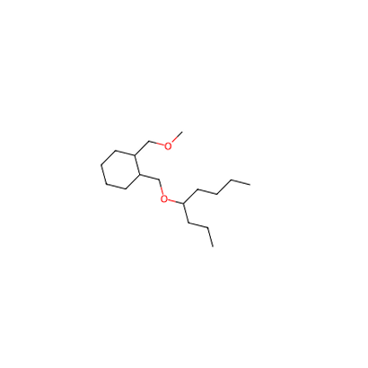 CCCCC(CCC)OCC1CCCCC1COC